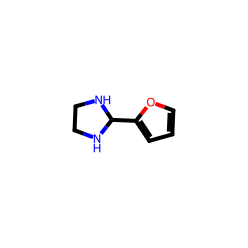 c1coc(C2NCCN2)c1